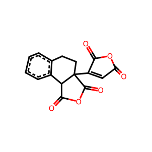 O=C1C=C(C23CCc4ccccc4C2C(=O)OC3=O)C(=O)O1